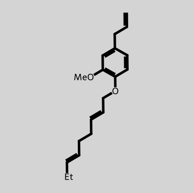 C=CCc1ccc(OCC=CCCC=CCC)c(OC)c1